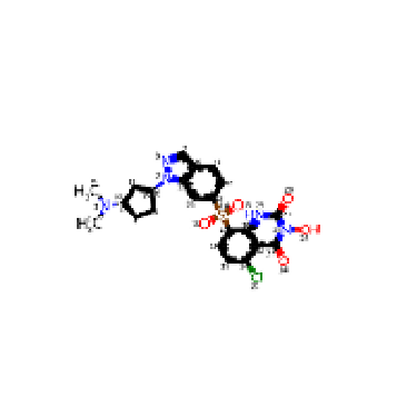 CN(C)[C@H]1CC[C@H](n2ncc3ccc(S(=O)(=O)c4ccc(Cl)c5c(=O)n(O)c(=O)[nH]c45)cc32)C1